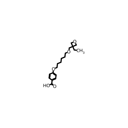 CCC1(COCCCCCCOc2ccc(C(=O)O)cc2)COC1